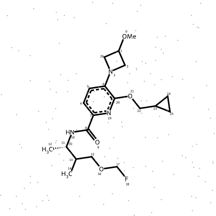 COC1CN(c2ccc(C(=O)N[C@@H](C)C(C)COCF)nc2OCC2CC2)C1